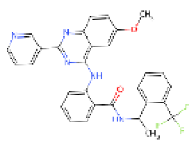 COc1ccc2nc(-c3cccnc3)nc(Nc3ccccc3C(=O)NC(C)c3ccccc3C(F)(F)F)c2c1